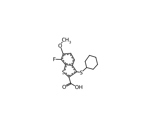 COc1ccc2c(SC3CCCCC3)c(C(=O)O)sc2c1F